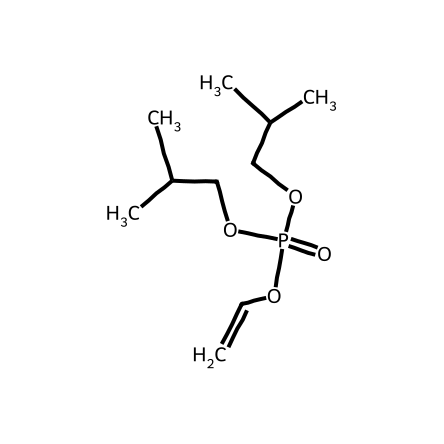 C=COP(=O)(OCC(C)C)OCC(C)C